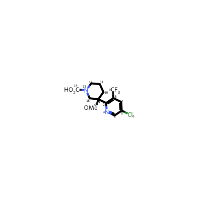 COC1(c2ncc(Cl)cc2C(F)(F)F)CCCN(C(=O)O)C1